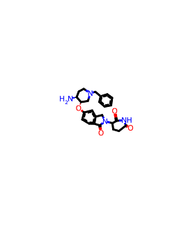 N[C@H]1CCN(Cc2ccccc2)C[C@@H]1Oc1ccc2c(c1)CN(C1CCC(=O)NC1=O)C2=O